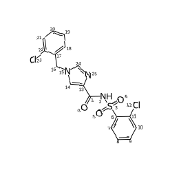 O=C(NS(=O)(=O)c1ccccc1Cl)c1cn(Cc2ccccc2Cl)cn1